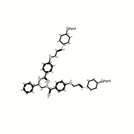 CCCCC[C@H]1CC[C@H](/C=C/COc2ccc(C(=O)OC[C@H](OC(=O)c3ccc(OC/C=C/[C@H]4CC[C@H](CCCCC)CC4)cc3)c3ccccc3)cc2)CC1